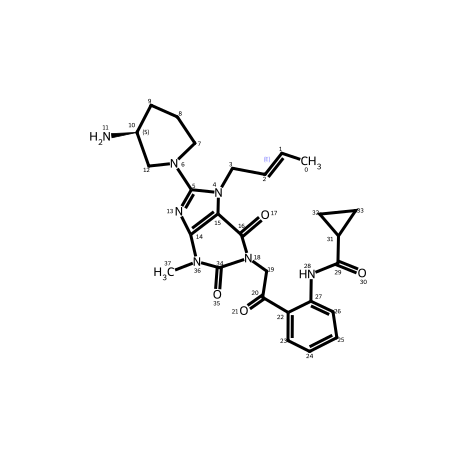 C/C=C/Cn1c(N2CCC[C@H](N)C2)nc2c1c(=O)n(CC(=O)c1ccccc1NC(=O)C1CC1)c(=O)n2C